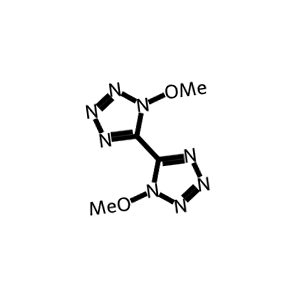 COn1nnnc1-c1nnnn1OC